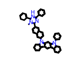 CN1C(C2=CC=CCC2)NC(c2ccccc2)=NC1c1ccc2cc(-n3c4ccccc4c4cc5c6ccccc6n(-c6ccccc6)c5cc43)ccc2c1